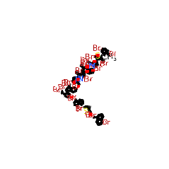 BrCCc1ccc(Br)cc1.BrCc1c(Br)ccc2ccccc12.BrCc1cc(Br)ccn1.BrCc1ccc(Br)c2ccccc12.BrCc1ccc(Br)nc1.BrCc1ccc(Br)s1.BrCc1ccc2ccccc2c1Br.BrCc1cccc(Br)n1.BrCc1cccc2c(Br)cccc12.BrCc1csc(Br)c1.Cc1cc(Br)ccc1CBr